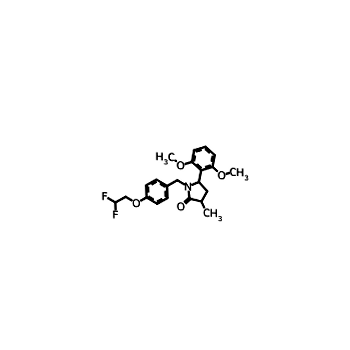 COc1cccc(OC)c1C1CC(C)C(=O)N1Cc1ccc(OCC(F)F)cc1